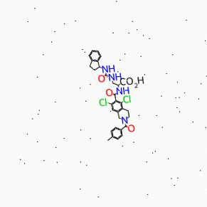 Cc1ccc(C(=O)N2CCc3c(cc(Cl)c(C(=O)NC(CNC(=O)NC4CCc5ccccc54)C(=O)O)c3Cl)C2)cc1